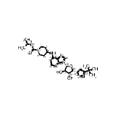 CC(C)OC(=O)N1CCC(Nc2ncnc3c2ncn3[C@@H]2O[C@H](c3cc(C(C)(C)C)no3)[C@@H](O)[C@H]2O)CC1